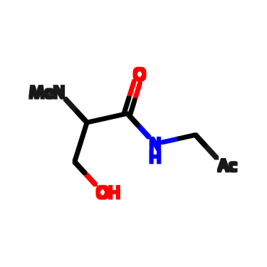 CNC(CO)C(=O)NCC(C)=O